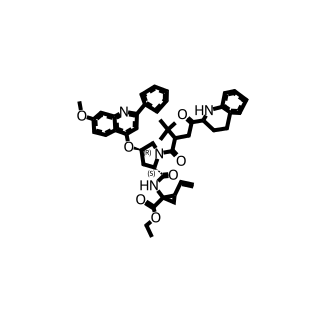 C=CC1CC1(NC(=O)[C@@H]1C[C@@H](Oc2cc(-c3ccccc3)nc3cc(OC)ccc23)CN1C(=O)C(CC(=O)C1CCc2ccccc2N1)C(C)(C)C)C(=O)OCC